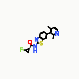 Cc1ccnc(C)c1-c1ccc2nc(NC(=O)[C@@H]3CC3F)sc2c1